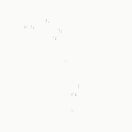 Nc1ncnn2c(C3CCC(COP(NCC=O)Oc4ccccc4)O3)ccc12